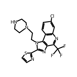 FC(F)(F)c1nc2cc(Cl)ccc2c2c1nc(-c1nccs1)n2CCN1CCNCC1